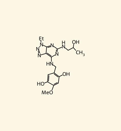 CCn1nnc2c(NCc3cc(O)c(OC)cc3O)nc(NCC(C)O)nc21